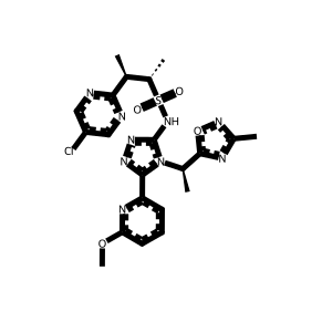 COc1cccc(-c2nnc(NS(=O)(=O)[C@@H](C)[C@H](C)c3ncc(Cl)cn3)n2[C@H](C)c2nc(C)no2)n1